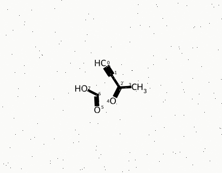 C#CC(C)=O.O=CO